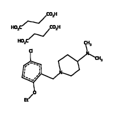 CCOc1ccc(Cl)cc1CN1CCC(N(C)C)CC1.O=C(O)CCC(=O)O.O=C(O)CCC(=O)O